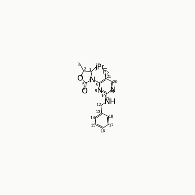 CC(C)C1C(C)OC(=O)N1c1nc(NCc2ccccc2)ncc1F